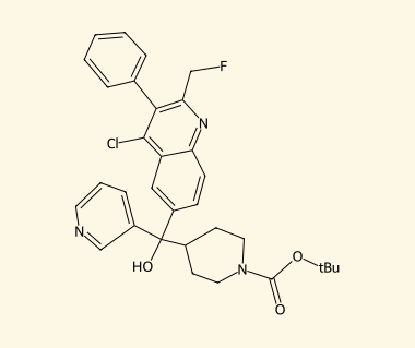 CC(C)(C)OC(=O)N1CCC(C(O)(c2cccnc2)c2ccc3nc(CF)c(-c4ccccc4)c(Cl)c3c2)CC1